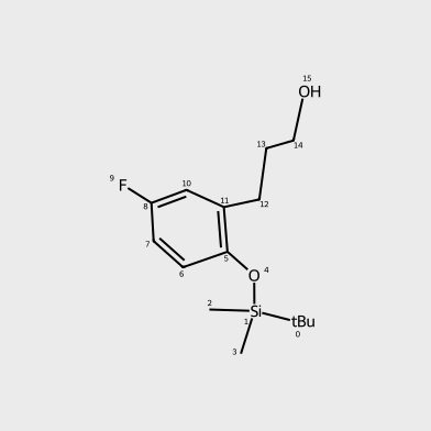 CC(C)(C)[Si](C)(C)Oc1ccc(F)cc1CCCO